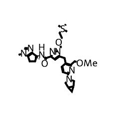 COCc1nc(N2CC3CC3C2)ccc1Cc1cc(C(=O)N[C@@H]2CCc3c2ncn3C)nn1COCCS(C)(C)C